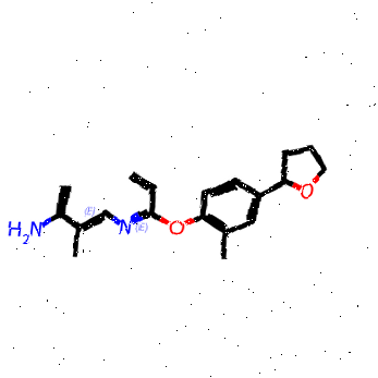 C=C/C(=N\C=C(/C)C(=C)N)Oc1ccc(C2CCCO2)cc1C